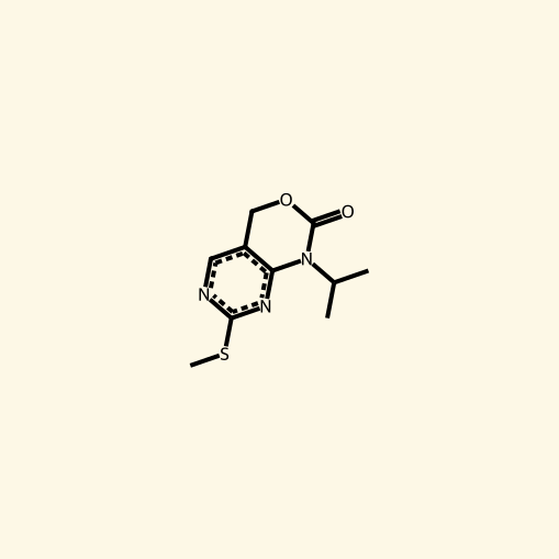 CSc1ncc2c(n1)N(C(C)C)C(=O)OC2